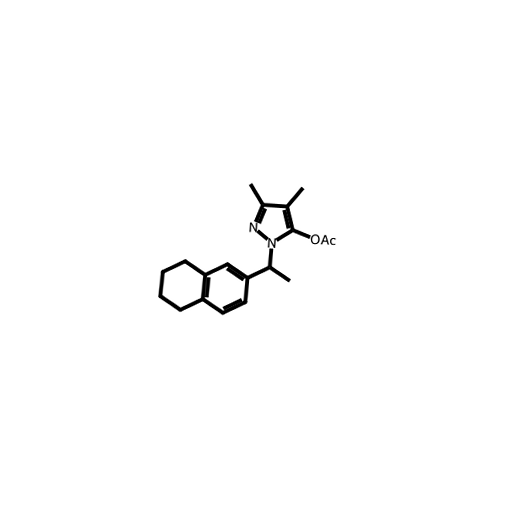 CC(=O)Oc1c(C)c(C)nn1C(C)c1ccc2c(c1)CCCC2